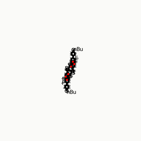 CCCCOc1ccc(-c2ccc(-c3ccc(-c4csc(C5Sc6ccccc6S5)c4-c4c(-c5ccc(-c6ccc(-c7ccc(OCCCC)cc7)c(F)c6F)cc5)csc4C4Sc5ccccc5S4)cc3)c(F)c2F)cc1